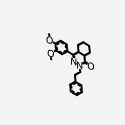 COc1ccc(C2=NN(CCc3ccccc3)C(=O)C3CCCCC23)cc1OC